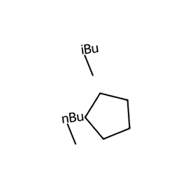 C1CCCC1.CCC(C)C.CCCCC